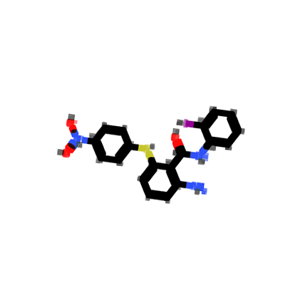 Nc1cccc(Sc2ccc([N+](=O)[O-])cc2)c1C(=O)Nc1ccccc1I